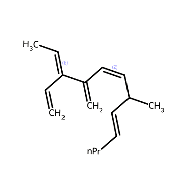 C=C/C(=C\C)C(=C)/C=C\C(C)C=CCCC